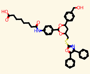 O=C(O)CCCCCCC(=O)Nc1ccc(C2OC(CSc3nc(-c4ccccc4)c(-c4ccccc4)o3)CC(c3ccc(CO)cc3)O2)cc1